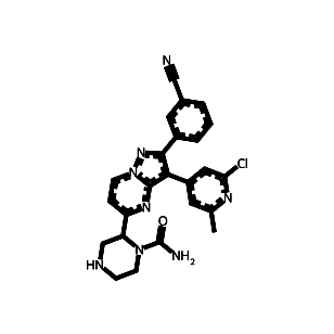 Cc1cc(-c2c(-c3cccc(C#N)c3)nn3ccc(C4CNCCN4C(N)=O)nc23)cc(Cl)n1